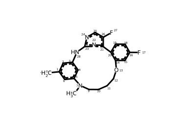 [CH2]c1cc2cc(c1)N(C)CCCCOc1cc(F)ccc1-c1nc(ncc1F)N2